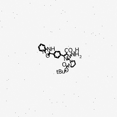 CC(C)(C)OC(=O)N1CCC[C@H]1c1nc(-c2ccc(C(=O)Nc3ccccn3)cc2)c(C(=O)O)n1N